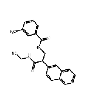 N#CCNC(=O)C(CNC(=O)c1cccc(C(F)(F)F)c1)c1ccc2ccccc2c1